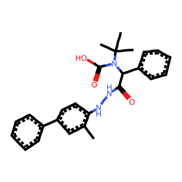 Cc1cc(-c2ccccc2)ccc1NNC(=O)C(c1ccccc1)N(C(=O)O)C(C)(C)C